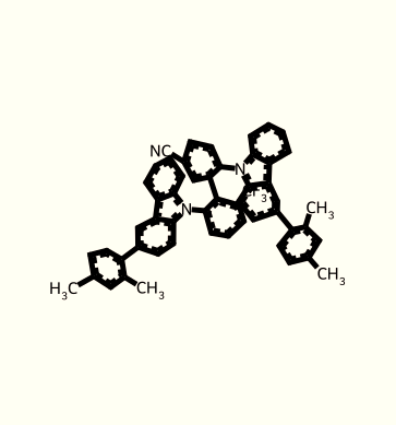 Cc1ccc(-c2ccc3c(c2)c2ccccc2n3-c2ccc(C#N)cc2-c2c(-n3c4ccccc4c4cc(-c5ccc(C)cc5C)ccc43)cccc2C(F)(F)F)c(C)c1